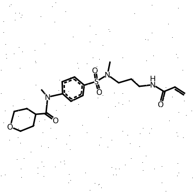 C=CC(=O)NCCCN(C)S(=O)(=O)c1ccc(N(C)C(=O)C2CCOCC2)cc1